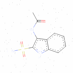 CC(=O)Nc1c(S(N)(=O)=O)[nH]c2ccccc12